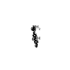 COCc1ccc(C(=O)Nc2ccc(CC[C@H]3COC(N)=N3)cc2)cc1